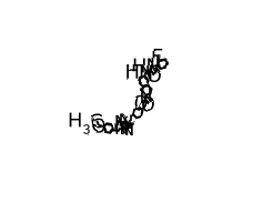 COc1ccc(Cn2nnc(C[C@H]3CC[C@H](OC(=O)N4CCc5cc(NC(=O)Nc6ccccc6F)ccc5C4)CC3)n2)cc1